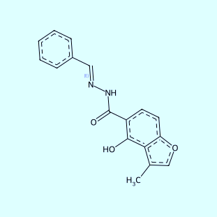 Cc1coc2ccc(C(=O)N/N=C/c3ccccc3)c(O)c12